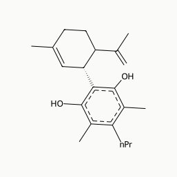 C=C(C)C1CCC(C)=C[C@H]1c1c(O)c(C)c(CCC)c(C)c1O